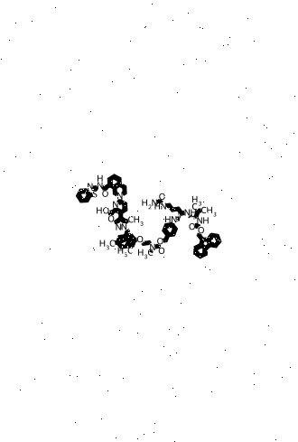 Cc1c(-c2ccc(N3CCc4cccc(C(=O)Nc5nc6ccccc6s5)c4C3)nc2C(=O)O)cnn1CC12CC3(C)CC(C)(C1)CC(OCCN(C)C(=O)OCc1ccc(NC[C@H](CCCNC(N)=O)NC[C@@H](NC(=O)OCC4c5ccccc5-c5ccccc54)C(C)C)cc1)(C3)C2